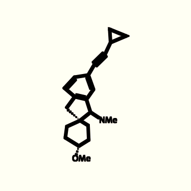 CNC1c2cc(C#CC3CC3)ccc2C[C@]12CC[C@@H](OC)CC2